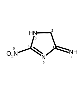 N=C1CNC([N+](=O)[O-])=N1